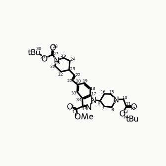 COC(=O)c1nn(C2CCN(CC(=O)OC(C)(C)C)CC2)c2ccc(C=CC3CCN(C(=O)OC(C)(C)C)CC3)cc12